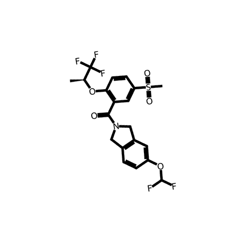 C[C@H](Oc1ccc(S(C)(=O)=O)cc1C(=O)N1Cc2ccc(OC(F)F)cc2C1)C(F)(F)F